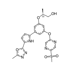 Cc1nnc(-c2ccc(-c3cc(Oc4cnc(S(C)(=O)=O)cn4)cc(O[C@@H](C)CO)c3)[nH]2)o1